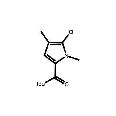 Cc1cc(C(=O)C(C)(C)C)n(C)c1Cl